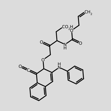 C=CCOC(=O)NC(CC(=O)O)C(=O)COC1C(=C=O)c2ccccc2C=C1Nc1ccccc1